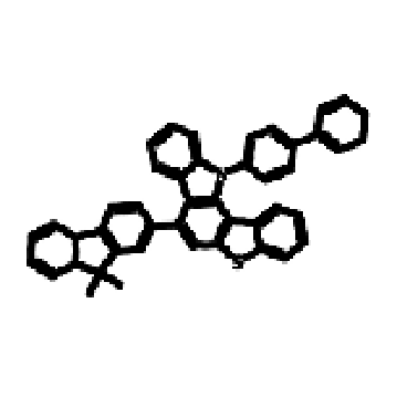 CC1(C)c2cc(-c3cc4sc5ccccc5c4c4c3c3ccccc3n4-c3ccc(C4=CCCC=C4)cc3)ccc2C2C=CC=CC21